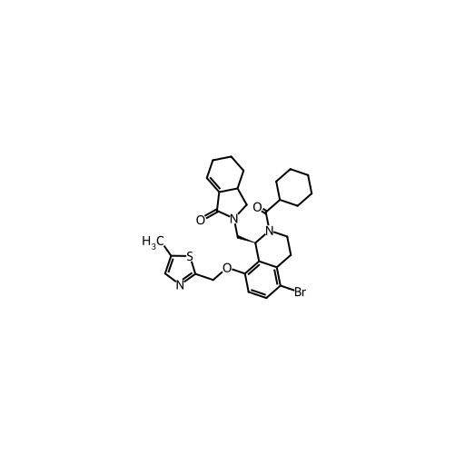 Cc1cnc(COc2ccc(Br)c3c2[C@@H](CN2CC4CCCC=C4C2=O)N(C(=O)C2CCCCC2)CC3)s1